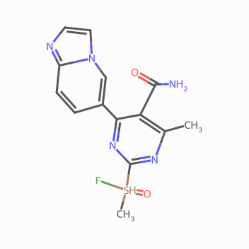 Cc1nc([SH](C)(=O)F)nc(-c2ccc3nccn3c2)c1C(N)=O